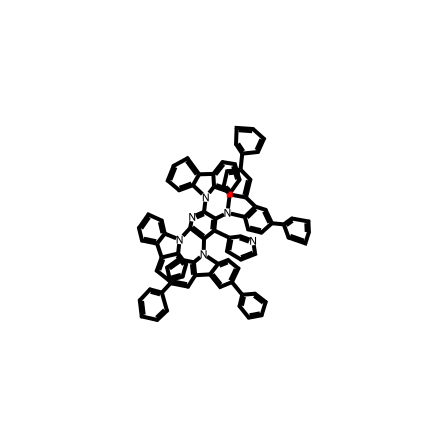 c1ccc(-c2ccc3c(c2)c2cc(-c4ccccc4)ccc2n3-c2c(-n3c4ccccc4c4ccccc43)nc(-n3c4ccccc4c4ccccc43)c(-n3c4ccc(-c5ccccc5)cc4c4cc(-c5ccccc5)ccc43)c2-c2cccnc2)cc1